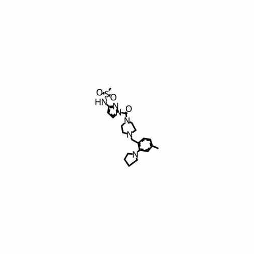 Cc1ccc(CN2CCN(C(=O)n3ccc(NS(C)(=O)=O)n3)CC2)c(N2CCCC2)c1